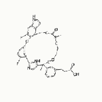 CN1CCCOCC(C)(c2cccc(CCC(=O)O)c2)c2cnc([nH]2)-c2cc(ccc2F)Oc2c(F)cc3[nH]ccc3c2CCC1=O